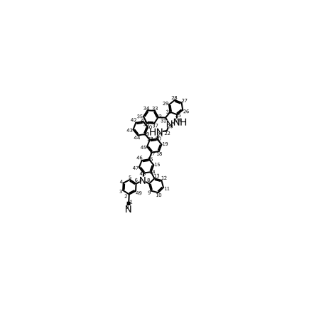 N#Cc1cccc(-n2c3ccccc3c3cc(-c4ccc(NCN5Nc6ccccc6C5c5ccccc5)c(-c5ccccc5)c4)ccc32)c1